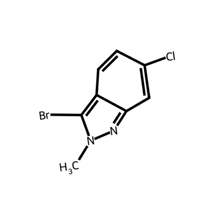 Cn1nc2cc(Cl)ccc2c1Br